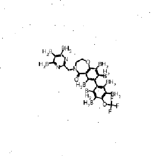 Bc1nc(CN2CCOc3c(B)c(B)c(-c4c(B)c(B)c(OC(F)(F)F)c(B)c4B)c(B)c3C2=O)nc(B)c1B